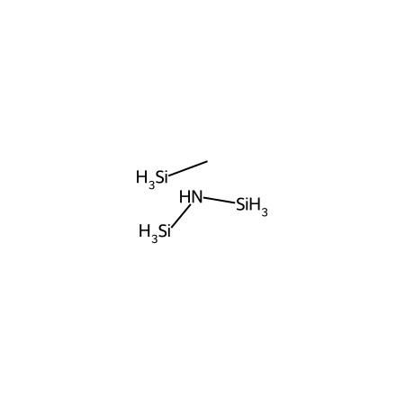 C[SiH3].[SiH3]N[SiH3]